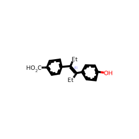 CC/C(=C(/CC)c1ccc(C(=O)O)cc1)c1ccc(O)cc1